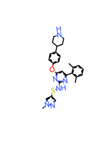 Cc1cccc(C)c1-c1cc(Oc2ccc(C3CCNCC3)cc2)nc(NSc2cnn(C)c2)n1